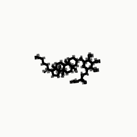 CCCCCCC(=O)OCC1O[C@@H](O[C@H]2CCC3(C)C4CCC5(C)C([C@H](C)CCCC(C)C)CC[C@H]5[C@H]4CC[C@H]3C2)[C@@H](O)C(O)[C@H]1O